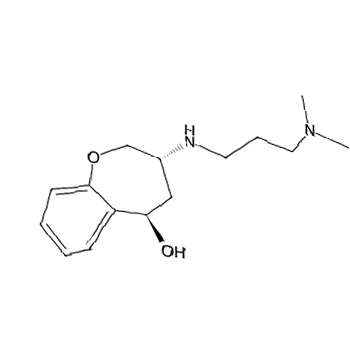 CN(C)CCCN[C@H]1COc2ccccc2[C@H](O)C1